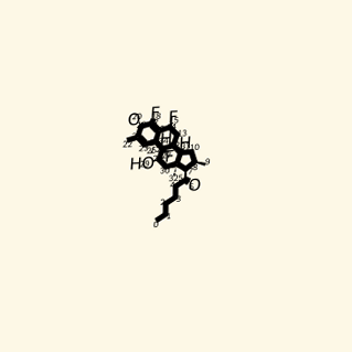 CCCCCC(=O)[C@@H]1[C@H](C)C[C@H]2[C@@H]3C[C@H](F)C4=C(F)C(=O)C(C)=C[C@]4(C)[C@@]3(F)[C@@H](O)C[C@]12C